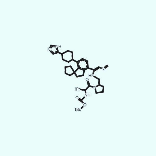 C=N/C=C(\NCC1CCCN1C(=O)C(NC(=O)OC(C)(C)C)C(C)C)c1ccc(C2CCC(c3cnc[nH]3)CC2)c2c1CCC21CCCC1